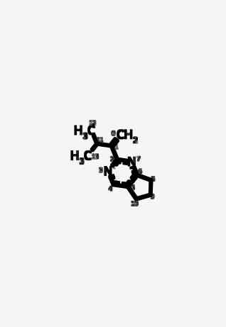 C=C(c1ncc2c(n1)CCC2)C(C)C